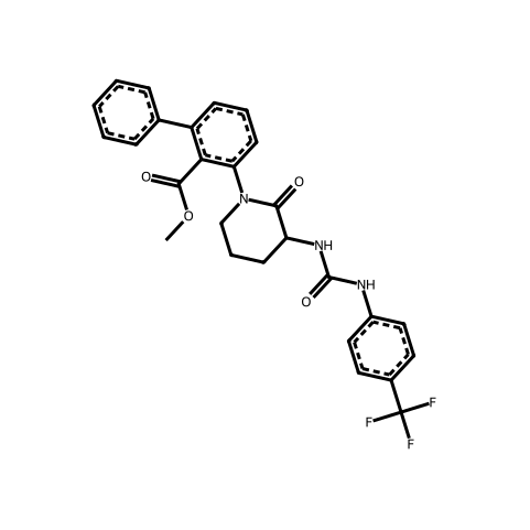 COC(=O)c1c(-c2ccccc2)cccc1N1CCCC(NC(=O)Nc2ccc(C(F)(F)F)cc2)C1=O